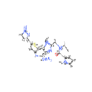 CCN(Cc1nc2c(N)nc3cc(-c4cc[nH]n4)sc3c2n1C)C(=O)c1cccn1C